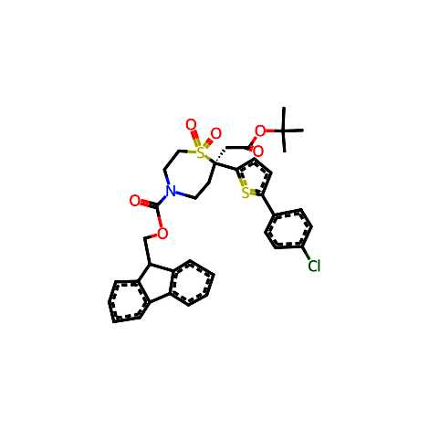 CC(C)(C)OC(=O)C[C@]1(c2ccc(-c3ccc(Cl)cc3)s2)CCN(C(=O)OCC2c3ccccc3-c3ccccc32)CCS1(=O)=O